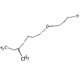 CC(C)CCOCC[S]